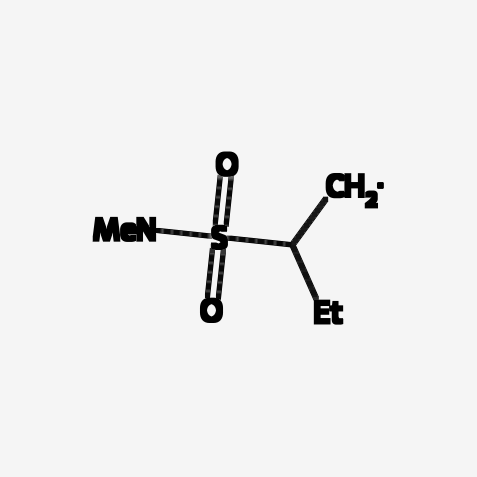 [CH2]C(CC)S(=O)(=O)NC